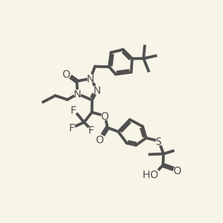 CCCn1c(C(OC(=O)c2ccc(SC(C)(C)C(=O)O)cc2)C(F)(F)F)nn(Cc2ccc(C(C)(C)C)cc2)c1=O